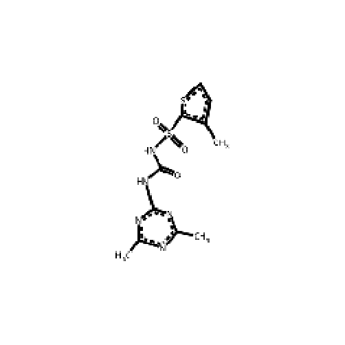 Cc1nc(C)nc(NC(=O)NS(=O)(=O)c2sccc2C)n1